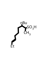 CCC=CCCCC(CCCC)C(C)S(=O)(=O)O